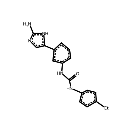 CCc1ccc(NC(=O)Nc2cccc(-c3cnc(N)[nH]3)c2)cc1